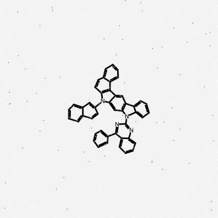 c1ccc(-c2nc(-n3c4ccccc4c4cc5c6c7ccccc7ccc6n(-c6ccc7ccccc7c6)c5cc43)nc3ccccc23)cc1